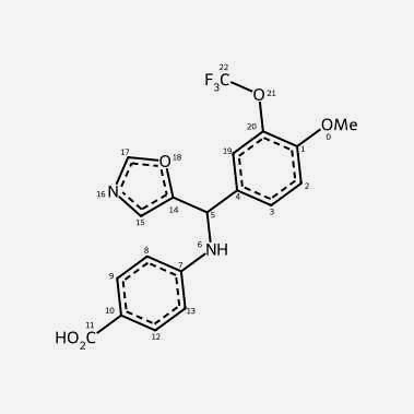 COc1ccc(C(Nc2ccc(C(=O)O)cc2)c2cnco2)cc1OC(F)(F)F